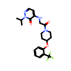 CC(C)n1nccc(NCC(=O)N2CCC(Oc3ccccc3C(F)(F)F)CC2)c1=O